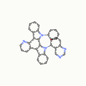 c1ccc(-n2c3ccccc3c3c4ncccc4c4c5ccccc5n(-c5cccc6ncncc56)c4c32)cc1